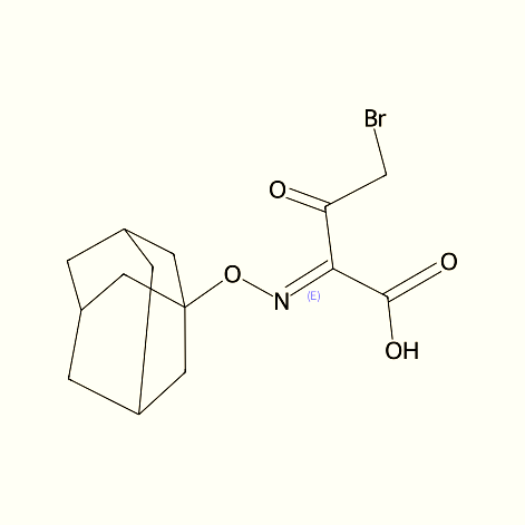 O=C(O)/C(=N/OC12CC3CC(CC(C3)C1)C2)C(=O)CBr